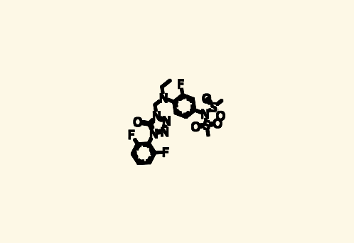 CCN(Cn1nnn(-c2c(F)cccc2F)c1=O)c1ccc(N(S(C)(=O)=O)S(C)(=O)=O)cc1F